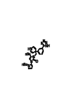 CCCCc1cn(-c2cccn2CCCC)c(=O)n1CC1(c2cccc(-c3nnn[nH]3)c2)C=CNC=C1